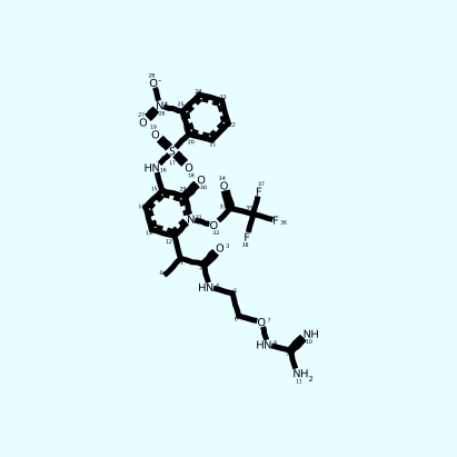 CC(C(=O)NCCONC(=N)N)c1ccc(NS(=O)(=O)c2ccccc2[N+](=O)[O-])c(=O)n1OC(=O)C(F)(F)F